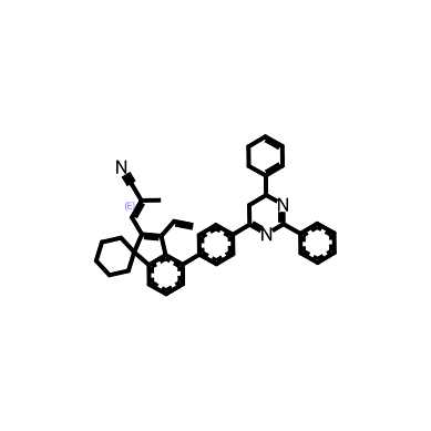 C=CC1=C(/C=C(\C)C#N)C2(CCCCC2)c2cccc(-c3ccc(C4=NC(c5ccccc5)=NC(C5=CC=CCC5)C4)cc3)c21